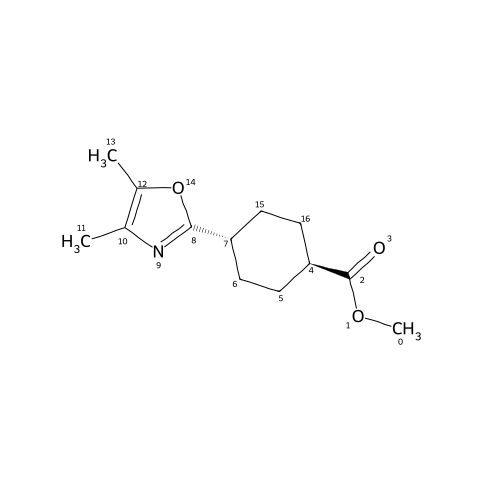 COC(=O)[C@H]1CC[C@H](c2nc(C)c(C)o2)CC1